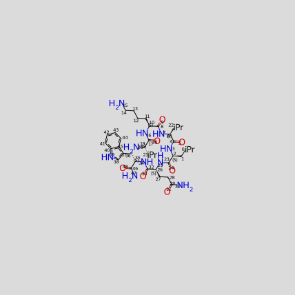 CC(C)C[C@H](NC(=O)[C@@H](NC(=O)[C@H](CCCCN)NC(=O)[C@@H](N)C(C)C)C(C)C)C(=O)N[C@@H](CCC(N)=O)C(=O)N[C@@H](Cc1c[nH]c2ccccc12)C(N)=O